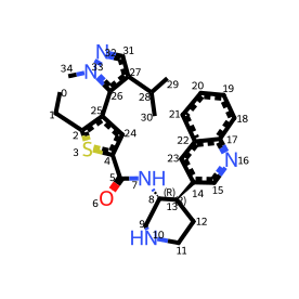 CCc1sc(C(=O)N[C@H]2CNCC[C@@H]2c2cnc3ccccc3c2)cc1-c1c(C(C)C)cnn1C